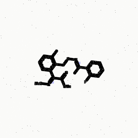 CO/N=C(/C(=O)OC)c1cccc(C)c1CO/N=C(\C)c1ccccc1F